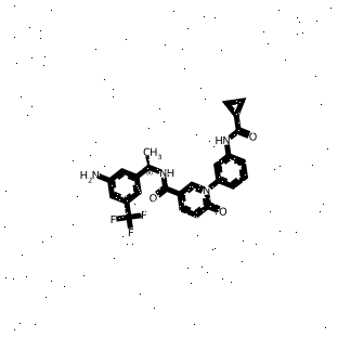 C[C@@H](NC(=O)c1ccc(=O)n(-c2cccc(NC(=O)C3CC3)c2)c1)c1cc(N)cc(C(F)(F)F)c1